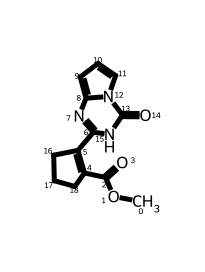 COC(=O)C1=C(c2nc3cccn3c(=O)[nH]2)CCC1